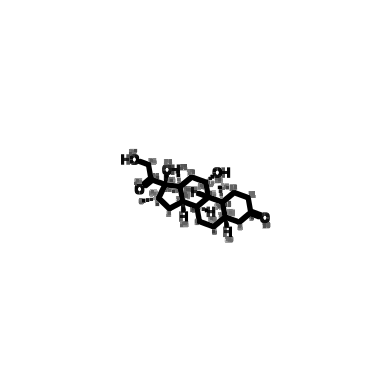 C[C@H]1C[C@H]2[C@@H]3CC[C@H]4CC(=O)CC[C@]4(C)C3(F)[C@@H](O)C[C@]2(C)[C@@]1(O)C(=O)CO